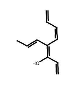 C=C\C=C/C(/C=C/C)=C(/O)C=C